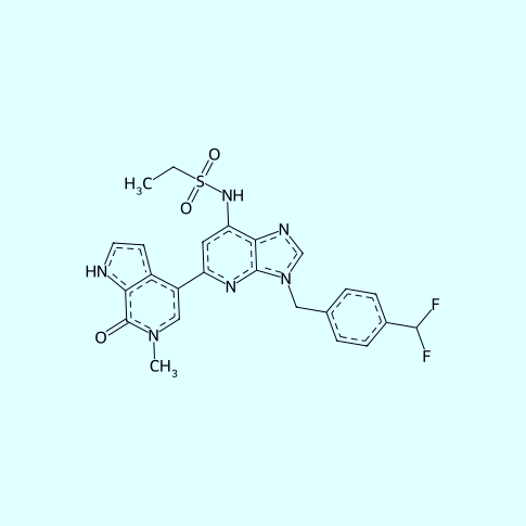 CCS(=O)(=O)Nc1cc(-c2cn(C)c(=O)c3[nH]ccc23)nc2c1ncn2Cc1ccc(C(F)F)cc1